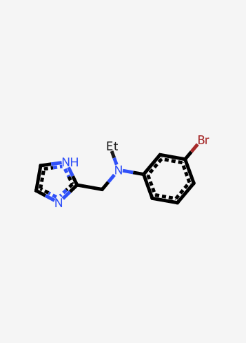 CCN(Cc1ncc[nH]1)c1cccc(Br)c1